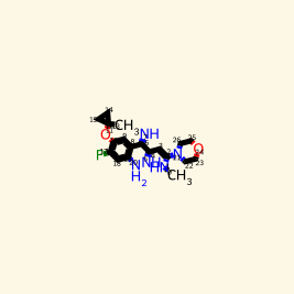 CN/C(=C\C(=N)C(=N)c1cc(OC2(C)CC2)c(F)cc1N)N1CCOCC1